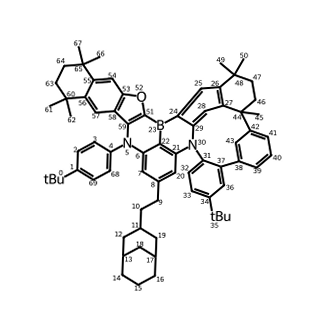 CC(C)(C)c1ccc(N2c3cc(CCC4CC5CCCC(C5)C4)cc4c3B(c3cc5c6cc3N4c3ccc(C(C)(C)C)cc3-c3cccc(c3)C6(C)CCC5(C)C)c3oc4cc5c(cc4c32)C(C)(C)CCC5(C)C)cc1